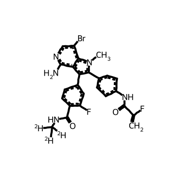 [2H]C([2H])([2H])NC(=O)c1ccc(-c2c(-c3ccc(NC(=O)C(=C)F)cc3)n(C)c3c(Br)cnc(N)c23)cc1F